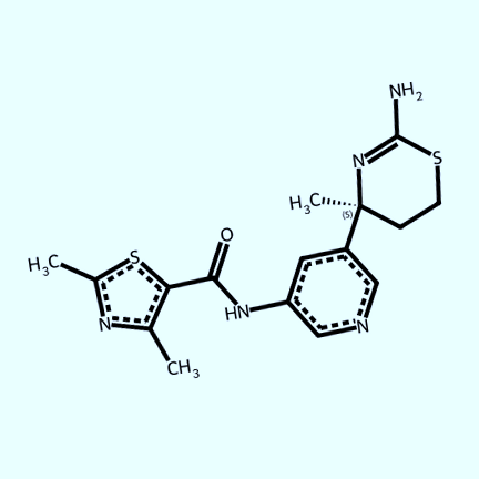 Cc1nc(C)c(C(=O)Nc2cncc([C@]3(C)CCSC(N)=N3)c2)s1